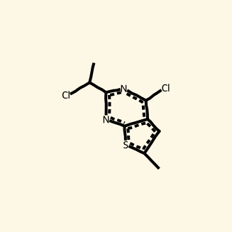 Cc1cc2c(Cl)nc(C(C)Cl)nc2s1